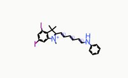 C[N+]1=C(/C=C/C=C/C=C/Nc2ccccc2)C(C)(C)c2c(I)cc(I)cc21